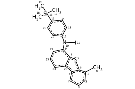 Cc1cccc2c1sc1c(N(I)c3ccc([Si](C)(C)C)cc3)cccc12